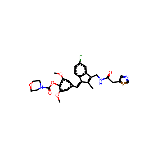 COc1cc(/C=C2/C(C)=C(CNC(=O)Cc3cncs3)c3cc(F)ccc32)cc(OC)c1OC(=O)N1CCOCC1